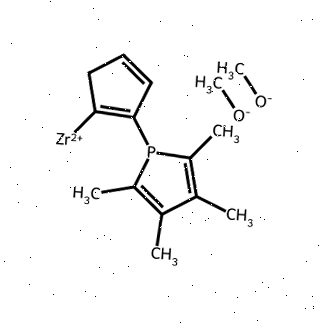 C[O-].C[O-].Cc1c(C)c(C)p(C2=[C]([Zr+2])CC=C2)c1C